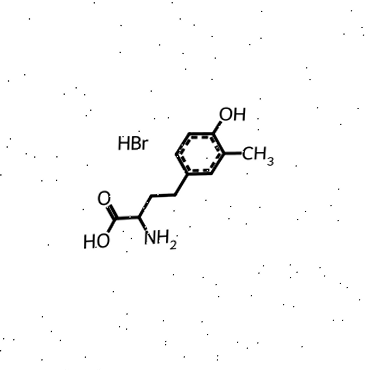 Br.Cc1cc(CCC(N)C(=O)O)ccc1O